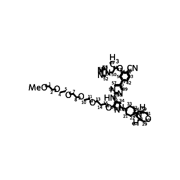 COCCOCCOCCOCCOCCCOc1nn(C2CCC(N3[C@@H]4CC[C@H]3COC4)CC2)cc1Nc1ncc(-c2ccc(C#N)c(O[C@@H](C)Cn3cnnn3)c2)cn1